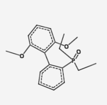 CCP(=O)(CC)c1ccccc1-c1c(OC)cccc1OC